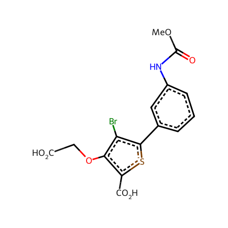 COC(=O)Nc1cccc(-c2sc(C(=O)O)c(OCC(=O)O)c2Br)c1